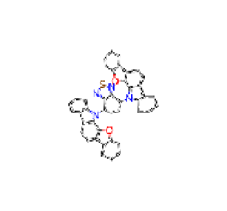 c1ccc2c(c1)oc1c2ccc2c3ccccc3n(-c3ccc(-n4c5ccccc5c5ccc6c7ccccc7oc6c54)c4nsnc34)c21